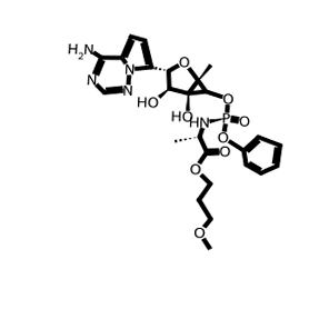 COCCCOC(=O)[C@H](C)N[P@@](=O)(Oc1ccccc1)OC1[C@@]2(C)O[C@@H](c3ccc4c(N)ncnn34)[C@H](O)[C@@]12O